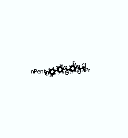 CCCCCOc1ccc(-c2ccc(OC(=O)c3ccc(OC(=O)C(Cl)C(C)C)c(F)c3)cc2)cc1